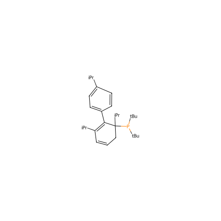 CC(C)C1=C(c2ccc(C(C)C)cc2)C(C(C)C)(P(C(C)(C)C)C(C)(C)C)CC=C1